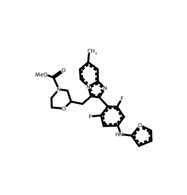 COC(=O)N1CCOC(Cc2c(-c3c(F)cc(Nc4ccco4)cc3F)nc3cc(C)ccn23)C1